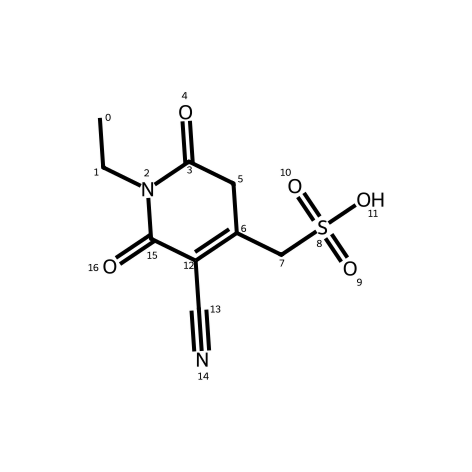 CCN1C(=O)CC(CS(=O)(=O)O)=C(C#N)C1=O